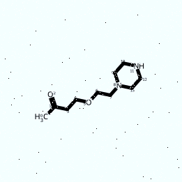 CC(=O)CCOCCN1CCNCC1